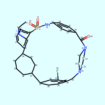 C/C=N\c1c2cccc1S(=O)(=O)Nc1ccc(cc1)C(=O)N1CCN(CC1)CC1=CCC(C=C1F)C1CCCC2CC1